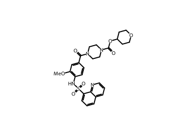 COc1cc(C(=O)N2CCN(C(=O)OC3CCOCC3)CC2)ccc1NS(=O)(=O)c1cccc2cccnc12